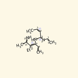 C=C/N=C(\C=C/C)N/C(C=C)=C(/CC)C(C)=N